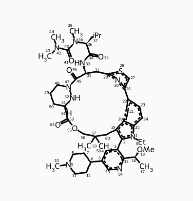 CCn1c(-c2cc(C3CCN(C)CC3)cnc2[C@H](C)OC)c2c3cc(ccc31)-c1csc(n1)C[C@H](NC(=O)[C@H](C(C)C)N(C)C(=O)N(C)C)C(=O)N1CCC[C@H](N1)C(=O)OCC(C)(C)C2